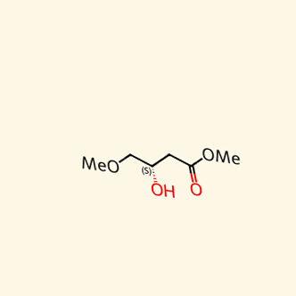 COC[C@@H](O)CC(=O)OC